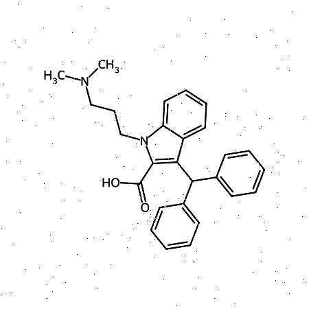 CN(C)CCCn1c(C(=O)O)c(C(c2ccccc2)c2ccccc2)c2ccccc21